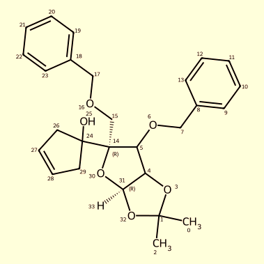 CC1(C)OC2C(OCc3ccccc3)[C@](COCc3ccccc3)(C3(O)CC=CC3)O[C@@H]2O1